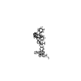 CC(Oc1ccc(CNC(=O)c2cccnc2Oc2nsnc2Cc2ccccc2)cc1)C(=O)OC(C)(C)C